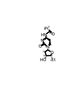 CC[C@H]1O[C@@H](n2ccc(NC(=O)C(C)C)nc2=O)C[C@H]1O